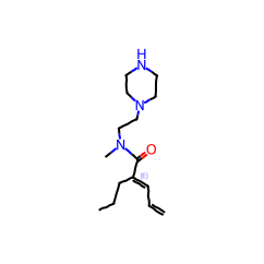 C=C/C=C(\CCC)C(=O)N(C)CCN1CCNCC1